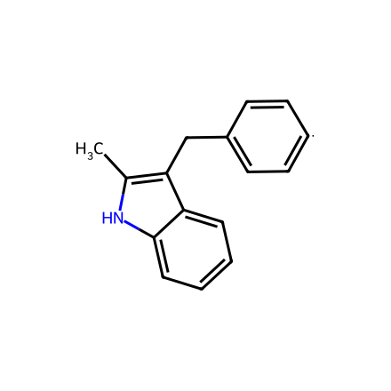 Cc1[nH]c2ccccc2c1Cc1cc[c]cc1